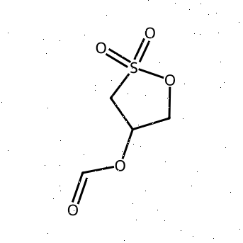 O=COC1COS(=O)(=O)C1